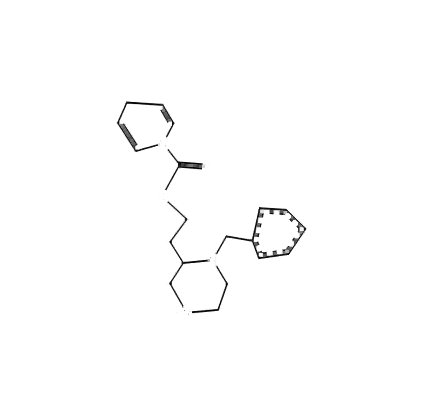 O=C(OCCC1CNCCN1Cc1ccccc1)N1C=CCC=C1